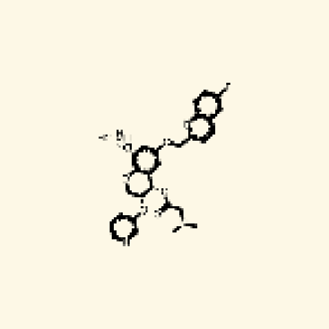 CN(C)CC(=O)O[C@H]1c2cc(OCc3ccc4cc(F)ccc4n3)ccc2OC[C@H]1Oc1cccnc1.Cl.Cl.Cl